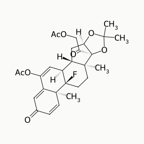 CC(=O)OCC(=O)[C@@]12OC(C)(C)O[C@@H]1C[C@H]1[C@@H]3C=C(OC(C)=O)C4=CC(=O)C=C[C@]4(C)[C@@]3(F)CC[C@@]12C